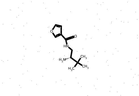 CC(C)(C)[C@H](N)CNC(=O)c1ccoc1